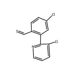 S=Cc1ccc(Cl)cc1-c1ncccc1Cl